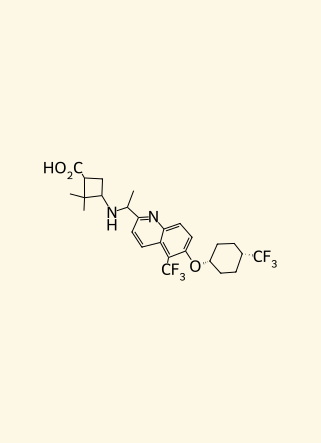 CC(NC1CC(C(=O)O)C1(C)C)c1ccc2c(C(F)(F)F)c(O[C@H]3CC[C@@H](C(F)(F)F)CC3)ccc2n1